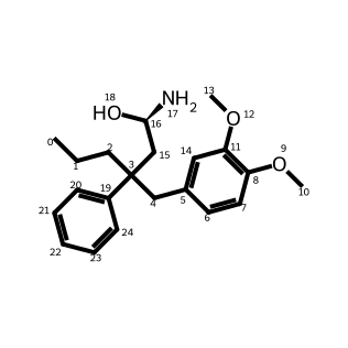 CCCC(Cc1ccc(OC)c(OC)c1)(C[C@H](N)O)c1ccccc1